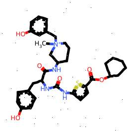 C[N+]1(Cc2cccc(O)c2)CCCC(NC(=O)C(Cc2ccc(O)cc2)NC(=O)Nc2ccc(C(=O)OC3CCCCC3)s2)C1